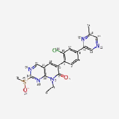 CCn1c(=O)c(-c2ccc(-c3cncc(C)n3)cc2Cl)cc2cnc([S+](C)[O-])nc21